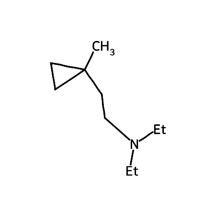 CCN(CC)CCC1(C)CC1